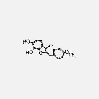 O=C1/C(=C\c2ccc(OC(F)(F)F)cc2)Oc2c1ccc(O)c2O